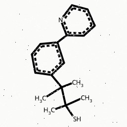 CC(C)(S)C(C)(C)c1cccc(-c2ccccn2)c1